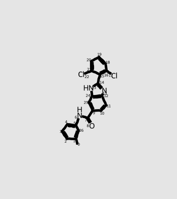 Cc1cccc(NC(=O)c2ccc3nc(-c4c(Cl)cccc4Cl)[nH]c3c2)c1